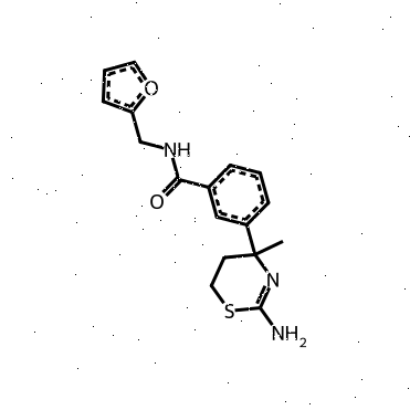 CC1(c2cccc(C(=O)NCc3ccco3)c2)CCSC(N)=N1